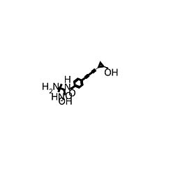 CC(C)(N)C(NC(=O)c1ccc(C#CC#C[C@@H]2C[C@H]2CO)cc1)C(=O)NO